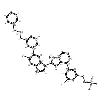 CS(=O)(=O)NCc1cc(F)cc(-c2nccc3[nH]c(-c4n[nH]c5cc(F)c(-c6cncc(CNCc7ccccc7)c6)cc45)nc23)c1